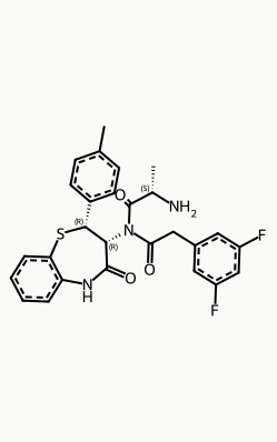 Cc1ccc([C@H]2Sc3ccccc3NC(=O)[C@H]2N(C(=O)Cc2cc(F)cc(F)c2)C(=O)[C@H](C)N)cc1